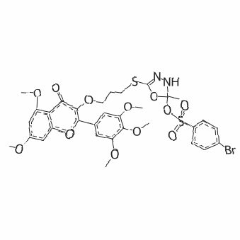 COc1cc(OC)c2c(=O)c(OCCCSC3=NNC(C)(OS(=O)(=O)c4ccc(Br)cc4)O3)c(-c3cc(OC)c(OC)c(OC)c3)oc2c1